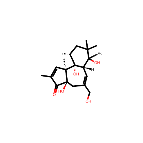 CC(=O)C1(O)[C@@H]2C=C(CO)C[C@]3(O)C(=O)C(C)=C[C@H]3[C@@]2(O)[C@H](C)CC1(C)C